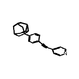 C(#Cc1ccc(C23CC4CC(CC(C4)C2)C3)cc1)c1ccncc1